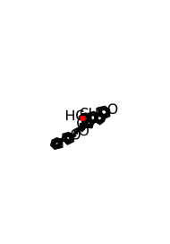 C#C[C@]1(OC(=O)COc2ccc(-c3ccccc3)cc2)CCC2C3CCC4=CC(=O)CCC4C3CC[C@@]21CC